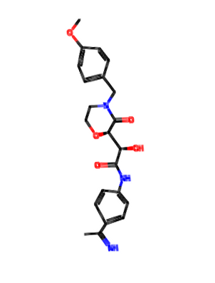 COc1ccc(CN2CCO[C@H]([C@@H](O)C(=O)Nc3ccc(C(C)=N)cc3)C2=O)cc1